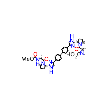 COC(=O)N[C@@H](C)C(=O)N1[C@@H](C)CC[C@H]1c1nc(-c2ccc(-c3ccc(-c4c[nH]c([C@@H]5CC[C@H](C)N5C(=O)[C@H](C)N(C)C(=O)O)n4)cc3)cc2)c[nH]1